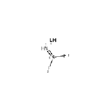 N=S(F)F.[LiH]